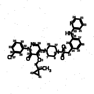 CC1(COc2c(N3CCN(S(=O)(=O)Cc4cccc(Nc5ccccn5)c4)CC3)cnn(-c3cccc(Cl)c3)c2=O)CC1